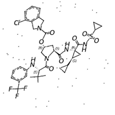 CC(C)(C)[C@H](Nc1cccc(C(F)(F)F)c1)C(=O)N1C[C@H](OC(=O)N2Cc3cccc(Cl)c3C2)C[C@H]1C(=O)N[C@]1(C(=O)NS(=O)(=O)C2CC2)C[C@H]1C1CC1